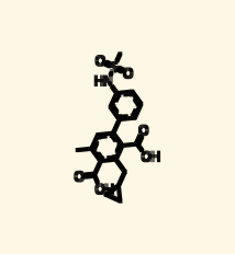 Cc1cc(-c2cccc(NS(C)(=O)=O)c2)c(C(=O)O)c(CC2CC2)c1C(=O)O